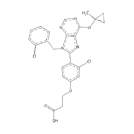 CC1(Oc2ncnc3c2nc(-c2ccc(OCCC(=O)O)cc2Cl)n3Cc2ccccc2Cl)CC1